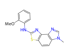 COc1ccccc1Nc1nc2c(ccc3c2ncn3C)s1